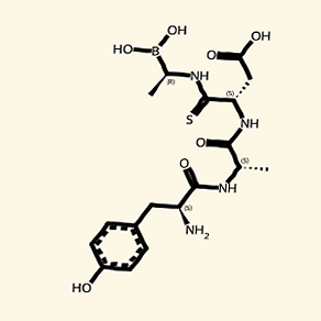 C[C@H](NC(=S)[C@H](CC(=O)O)NC(=O)[C@H](C)NC(=O)[C@@H](N)Cc1ccc(O)cc1)B(O)O